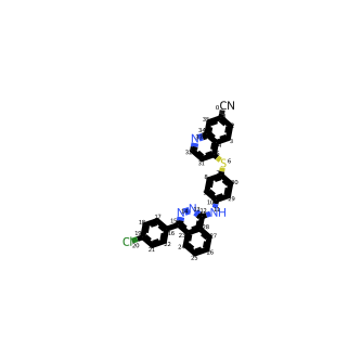 N#Cc1ccc2c(Sc3ccc(Nc4nnc(-c5ccc(Cl)cc5)c5ccccc45)cc3)ccnc2c1